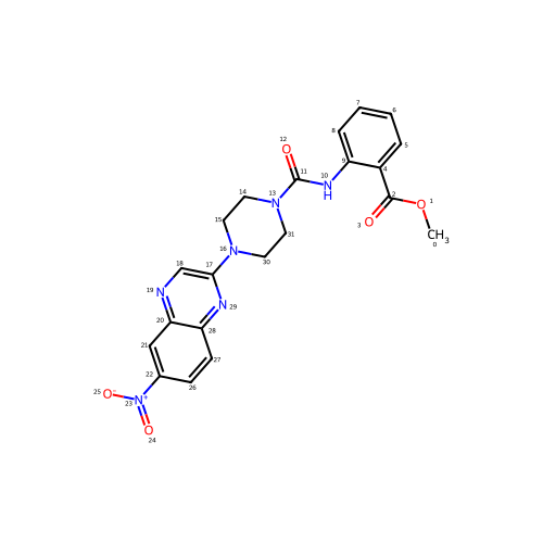 COC(=O)c1ccccc1NC(=O)N1CCN(c2cnc3cc([N+](=O)[O-])ccc3n2)CC1